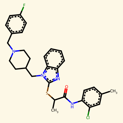 Cc1ccc(NC(=O)C(C)Sc2nc3ccccc3n2CC2CCN(Cc3ccc(F)cc3)CC2)c(Cl)c1